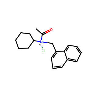 CC(=O)[N@@+](Cl)(Cc1cccc2ccccc12)C1CCCCC1